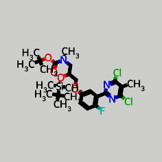 Cc1c(Cl)nc(-c2cc(OCC(CN(C)C(=O)OC(C)(C)C)O[Si](C)(C)C(C)(C)C)ccc2F)nc1Cl